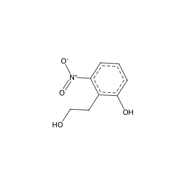 O=[N+]([O-])c1cccc(O)c1CCO